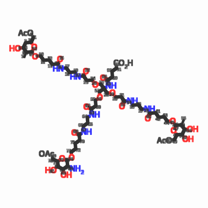 CC(=O)OCC1CC(O)[C@H](C)[C@H](OCCCCC(=O)NCCCNC(=O)CCOCC(COCCC(=O)NCCCNC(=O)CCCCO[C@@H]2OC(COC(C)=O)[C@H](O)C(O)[C@@H]2C)(COCCC(=O)NCCCNC(=O)CCCCO[C@@H]2OC(COC(C)=O)[C@H](O)C(O)[C@@H]2N)NC(=O)CCCC(=O)O)O1